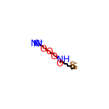 [N-]=[N+]=NCCOCCOCCOCCNC(=O)CCCCC1CCSS1